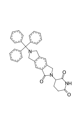 O=C1CCC(N2Cc3cc4c(cc3C2=O)CN(C(c2ccccc2)(c2ccccc2)c2ccccc2)C4)C(=O)N1